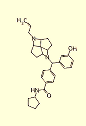 C=CCN1C2CCC3N(C(c4ccc(C(=O)NC5CCCC5)cc4)c4cccc(O)c4)C4CCC1C234